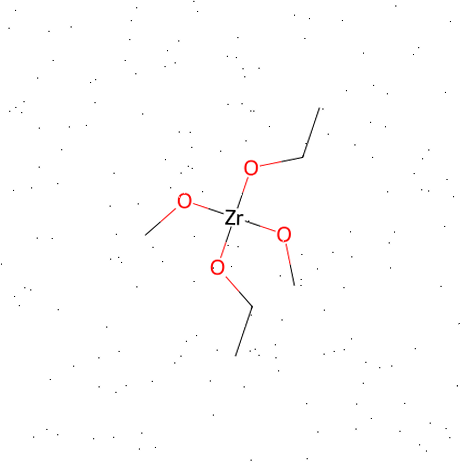 CC[O][Zr]([O]C)([O]C)[O]CC